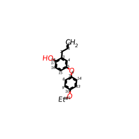 C=CCc1cc(Oc2ccc(OCC)cc2)ccc1O